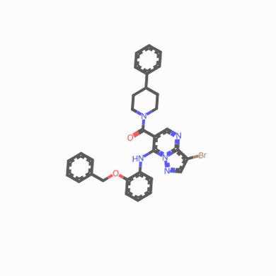 O=C(c1cnc2c(Br)cnn2c1Nc1ccccc1OCc1ccccc1)N1CCC(c2ccccc2)CC1